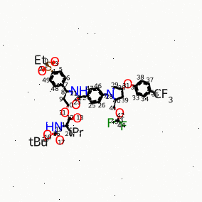 CCS(=O)(=O)c1ccc([C@H](CCOC(=O)C(NC(=O)OC(C)(C)C)C(C)C)NC(=O)c2ccc(N3C[C@@H](Oc4ccc(C(F)(F)F)cc4)C[C@H]3COC(F)F)cc2)cc1